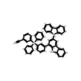 N#Cc1cccc(S(c2ccccc2)(c2ccccc2)c2cccc(-c3cc(-n4c5ccccc5c5ccccc54)cc4c3oc3ccccc34)c2)c1